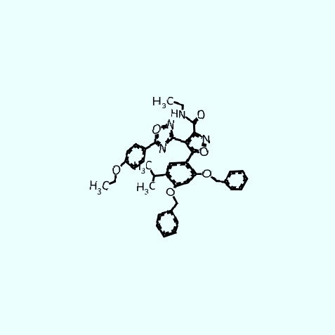 CCNC(=O)c1noc(-c2cc(C(C)C)c(OCc3ccccc3)cc2OCc2ccccc2)c1-c1noc(-c2ccc(OCC)cc2)n1